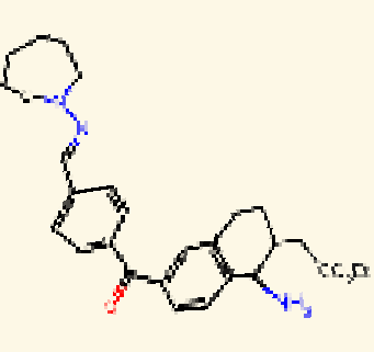 CCOC(=O)CC1CCc2cc(C(=O)c3ccc(C=NN4CCCCCC4)cc3)ccc2C1N